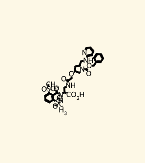 CS(=O)(=O)c1cccc(S(C)(=O)=O)c1C(=O)NC(CNC(=O)COC1CC(CNc2ccccn2)N(C(=O)OCc2ccccc2)C1)C(=O)O